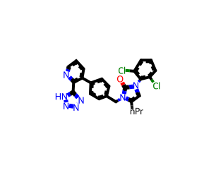 CCCc1cn(-c2c(Cl)cccc2Cl)c(=O)n1Cc1ccc(-c2cccnc2-c2nnn[nH]2)cc1